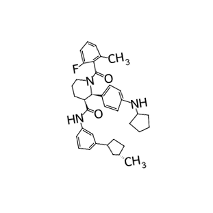 Cc1cccc(F)c1C(=O)N1CCC[C@H](C(=O)Nc2cccc(C3CC[C@H](C)C3)c2)[C@@H]1c1ccc(NC2CCCC2)cc1